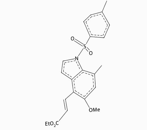 CCOC(=O)/C=C/c1c(OC)cc(C)c2c1ccn2S(=O)(=O)c1ccc(C)cc1